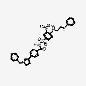 O=C(NS(=O)(=O)c1ccc(NCCSc2ccccc2)c([N+](=O)[O-])c1)c1ccc(-c2ccn(Cc3ccccc3)c2)cc1